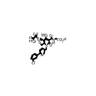 O=C(O)C(F)(F)F.O=C(O)CNC(=O)c1c(O)c2c(n(Cc3ccc(-c4cccc(Cl)c4)nc3)c1=O)CSC2